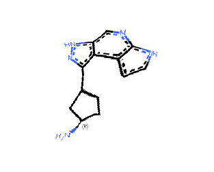 N[C@@H]1CCC(c2n[nH]c3cnc4[nH]ccc4c23)C1